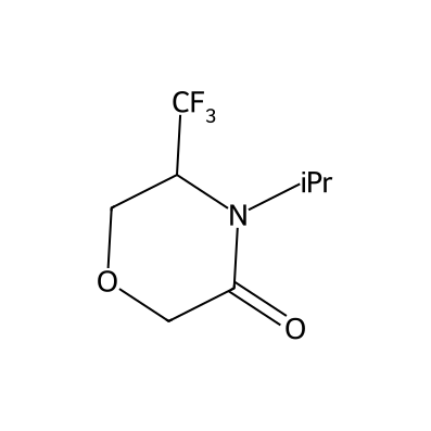 CC(C)N1C(=O)COCC1C(F)(F)F